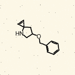 C1=CC12CC(OCc1ccccc1)CN2